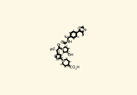 Cc1ncsc1-c1ccc([C@H](C)NC(=O)[C@@H]2C[C@@H](O)CN2C(=O)[C@H](c2cc(N3CCC(C(=O)O)CC3)no2)C(C)C)cc1